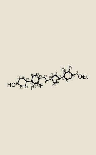 CCOCc1ccc(-c2ccc(CCc3ccc(C4CCC(O)CC4)c(F)c3F)cc2)c(F)c1F